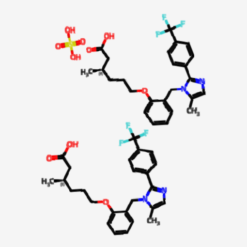 Cc1cnc(-c2ccc(C(F)(F)F)cc2)n1Cc1ccccc1OCCC[C@@H](C)CC(=O)O.Cc1cnc(-c2ccc(C(F)(F)F)cc2)n1Cc1ccccc1OCCC[C@@H](C)CC(=O)O.O=S(=O)(O)O